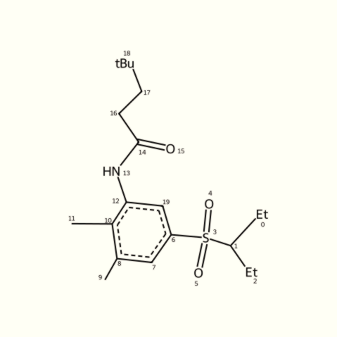 CCC(CC)S(=O)(=O)c1cc(C)c(C)c(NC(=O)CCC(C)(C)C)c1